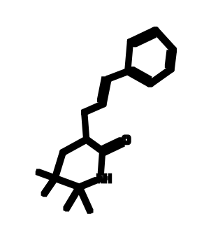 CC1(C)CC(CC=Cc2ccccc2)C(=O)NC1(C)C